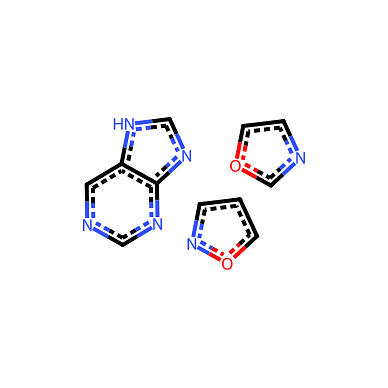 c1cnoc1.c1cocn1.c1ncc2[nH]cnc2n1